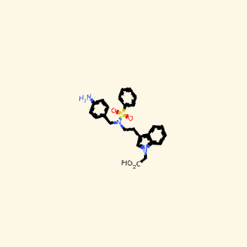 Nc1ccc(CN(CCc2cn(CC(=O)O)c3ccccc23)S(=O)(=O)c2ccccc2)cc1